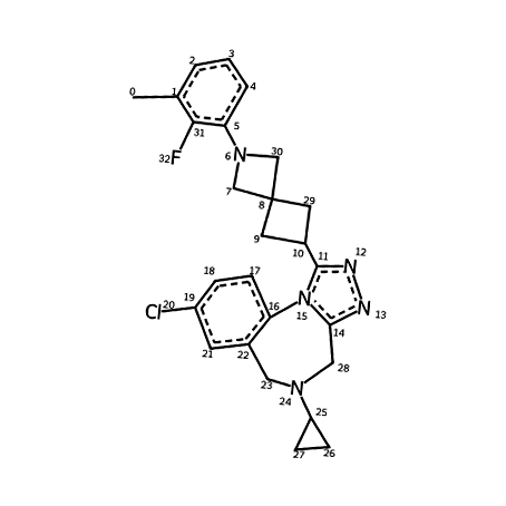 Cc1cccc(N2CC3(CC(c4nnc5n4-c4ccc(Cl)cc4CN(C4CC4)C5)C3)C2)c1F